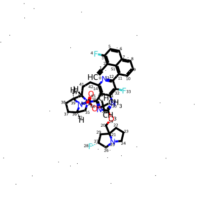 C#Cc1c(F)ccc2cccc(-c3nc4c5c(nc(OCC67CCCN6C[C@H](F)C7)nc5c3F)N3C[C@H]5CC[C@@H]([C@@H]3CC4)N5C(=O)OC(C)(C)C)c12